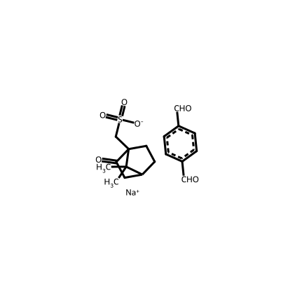 CC1(C)C2CCC1(CS(=O)(=O)[O-])C(=O)C2.O=Cc1ccc(C=O)cc1.[Na+]